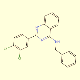 Clc1ccc(-c2nc(NCc3ccccc3)c3ccccc3n2)cc1Cl